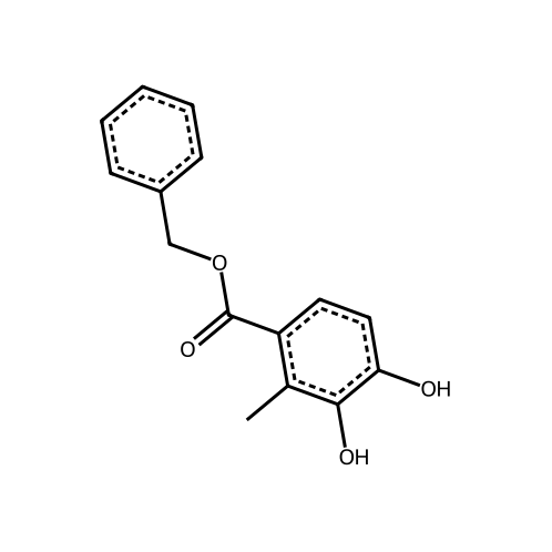 Cc1c(C(=O)OCc2ccccc2)ccc(O)c1O